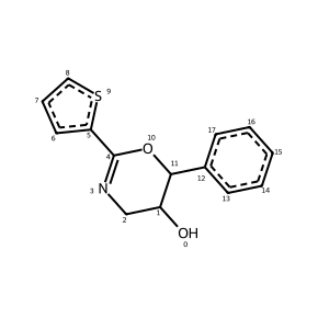 OC1CN=C(c2cccs2)OC1c1ccccc1